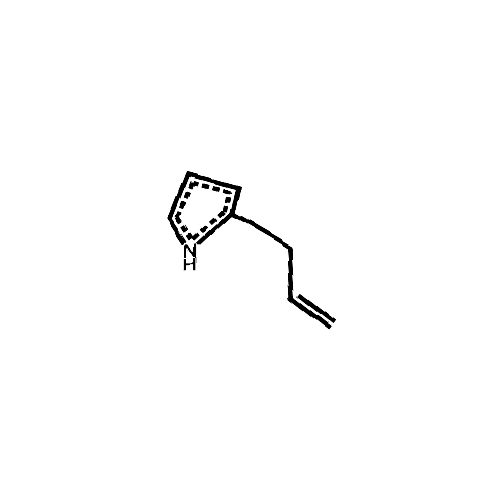 C=CCc1ccc[nH]1